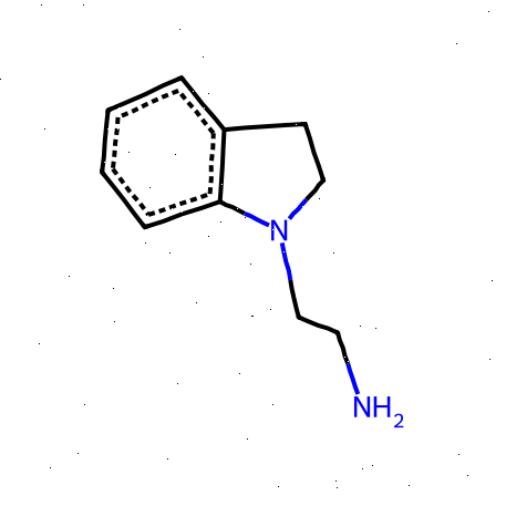 NCCN1CCc2ccccc21